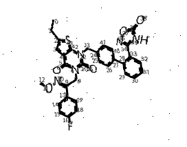 CCc1cc2c(=O)n(CC(=NOC)c3ccc(F)cc3)c(=O)n(Cc3ccc(-c4ccccc4-c4noc(=O)[nH]4)cc3)c2s1